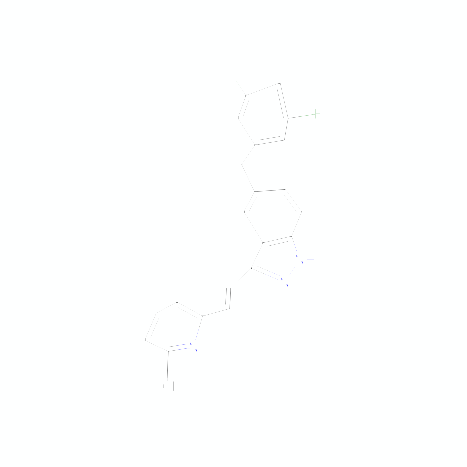 Cc1cccc(C=Cc2n[nH]c3ccc(Cc4cc(F)cc(F)c4)cc23)n1